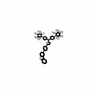 [2H]c1c([2H])c([2H])c(-c2ccc(C(c3ccc(-c4c([2H])c([2H])c([2H])c([2H])c4[2H])cc3)c3ccc(-c4ccc(-c5ccc6sc7ccccc7c6c5)cc4)s3)cc2)c([2H])c1[2H]